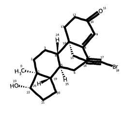 C[C@]12CC[C@H]3[C@@H](CCC4=CC(=O)CC[C@@]43CC#CBr)[C@@H]1CC[C@@H]2O